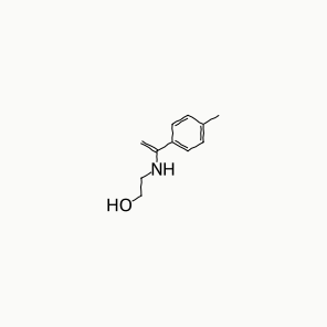 C=C(NCCO)c1ccc(C)cc1